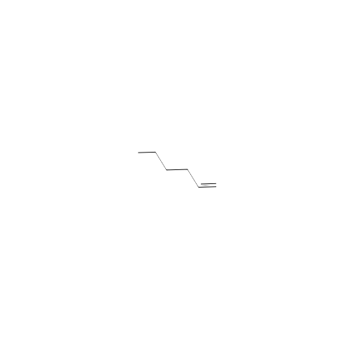 O=C(O)CCCC=S